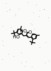 Cc1ccc(C=C(Cc2cc(C)cc(C(C)(C)C)c2O)C(=O)O)c(C(C)(C)C)c1